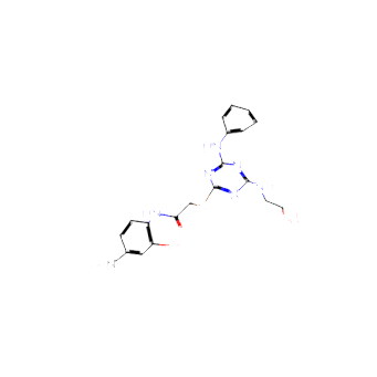 O=C(CSc1nc(NCCO)nc(Nc2ccccc2)n1)Nc1ccc([N+](=O)[O-])cc1O